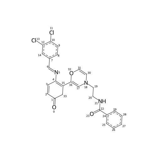 O=C1C=CC(N=Cc2ccc(Cl)c(Cl)c2)=C(C2=CN(CCNC(=O)c3ccccc3)C=CO2)C1